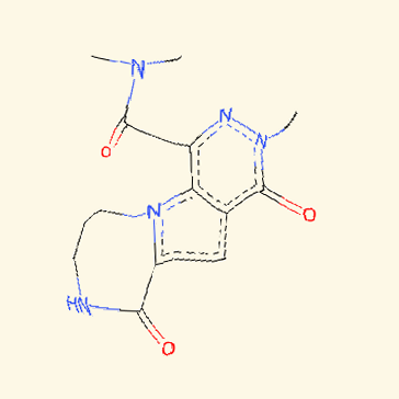 CN(C)C(=O)c1nn(C)c(=O)c2cc3n(c12)CCNC3=O